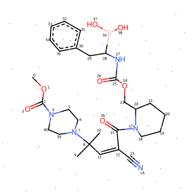 COC(=O)N1CCN(C(C)(C)C=C(C#N)C(=O)N2CCCCC2COC(=O)NC(Cc2ccccc2)B(O)O)CC1